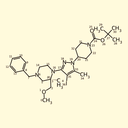 COC[C@@]1(C)CN(Cc2ccccc2)CCN1c1nn(C2CCN(C(=O)OC(C)(C)C)CC2)c(C)c1I